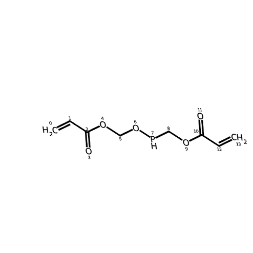 C=CC(=O)OCOPCOC(=O)C=C